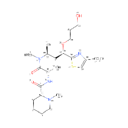 CCCCCCN(C(=O)[C@@H](NC(=O)[C@H]1CCCCN1C)[C@@H](C)CC)[C@H](C[C@@H](OCCCO)c1nc(C(=O)OCC)cs1)C(C)C